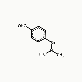 C[N](C)[Sn][c]1ccc(C=O)cc1